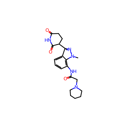 Cn1nc(C2CCC(=O)NC2=O)c2cccc(NC(=O)CN3CCCCC3)c21